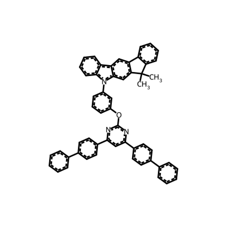 CC1(C)c2ccccc2-c2cc3c4ccccc4n(-c4cccc(Oc5nc(-c6ccc(-c7ccccc7)cc6)cc(-c6ccc(-c7ccccc7)cc6)n5)c4)c3cc21